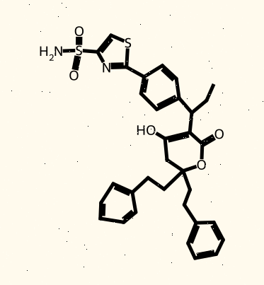 CCC(C1=C(O)CC(CCc2ccccc2)(CCc2ccccc2)OC1=O)c1ccc(-c2nc(S(N)(=O)=O)cs2)cc1